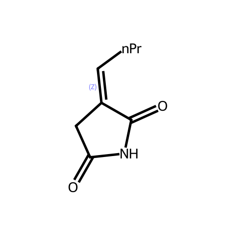 CCC/C=C1/CC(=O)NC1=O